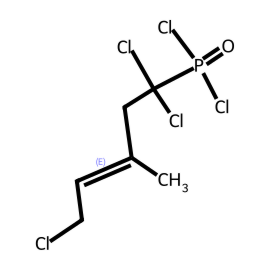 C/C(=C\CCl)CC(Cl)(Cl)P(=O)(Cl)Cl